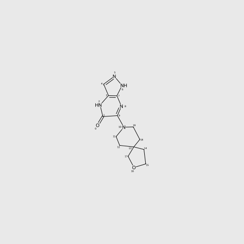 O=c1[nH]c2[c]n[nH]c2nc1N1CCC2(CCOC2)CC1